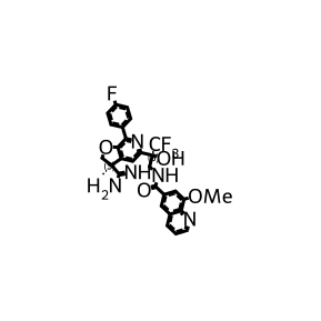 COc1cc(C(=O)NC[C@](O)(c2cc3c(c(-c4ccc(F)cc4)n2)OC[C@]3(C)C(=N)N)C(F)(F)F)cc2cccnc12